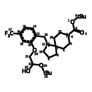 CC(C)(C)OC(=O)N1CCC2(CCCN2Cc2ccc(C(F)(F)F)cc2OCC(O)OC(C)(C)C)CC1